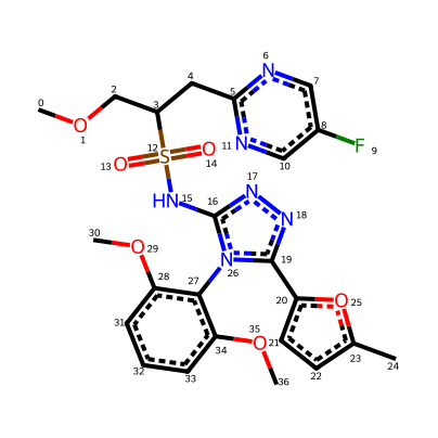 COCC(Cc1ncc(F)cn1)S(=O)(=O)Nc1nnc(-c2ccc(C)o2)n1-c1c(OC)cccc1OC